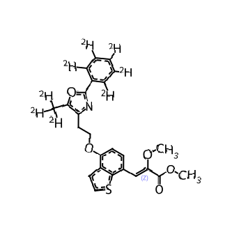 [2H]c1c([2H])c([2H])c(-c2nc(CCOc3ccc(/C=C(\OC)C(=O)OC)c4sccc34)c(C([2H])([2H])[2H])o2)c([2H])c1[2H]